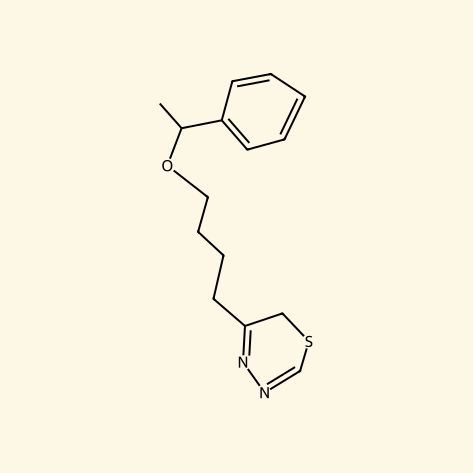 CC(OCCCCC1=NN=CSC1)c1ccccc1